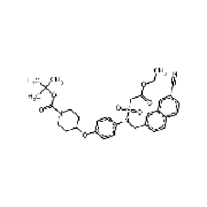 CCOC(=O)CS(=O)(=O)N(Cc1ccc2ccc(C#N)cc2c1)c1ccc(OC2CCN(C(=O)OC(C)(C)C)CC2)cc1